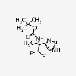 CC(C)(C)OC(=O)NC(C)(c1c[nH]nn1)C(F)F